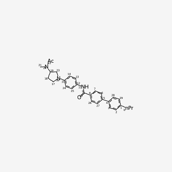 CCCc1ccc(-c2ccc(C(=O)Nc3ccc(N4CCC(N(C)C(C)=O)C4)cc3)cc2)cc1